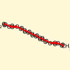 C=CC(=O)OCCCCCCOc1ccc(C(=O)Oc2ccc(C3CCC(OCCCCCCOC(=O)CCCCCOC(=O)CCCCCOC(=O)CCCCCOC(=O)CCCCCOC(=O)CCCCCOC(=O)CCC(=O)OCCCCCC(=O)OCCCCCCOC4CCC(c5ccc(OC(=O)c6ccc(OCCCCCCOC(=O)C=C)cc6)cc5)CC4)CC3)cc2)cc1